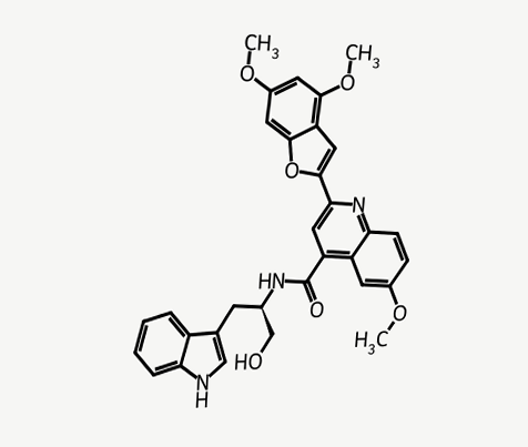 COc1cc(OC)c2cc(-c3cc(C(=O)N[C@@H](CO)Cc4c[nH]c5ccccc45)c4cc(OC)ccc4n3)oc2c1